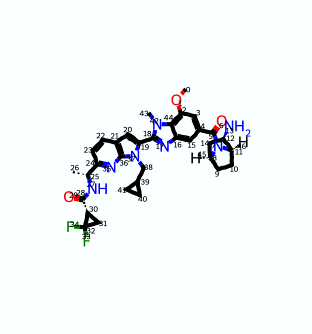 COc1cc(C(=O)N2[C@H]3CC[C@@H]2[C@H](N)C3)cc2nc(-c3cc4ccc([C@@H](C)NC(=O)[C@@H]5CC5(F)F)nc4n3CC3CC3)n(C)c12